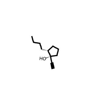 C#C[C@]1(O)CCC[C@H]1CCCC